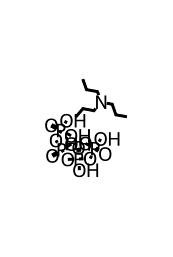 CCCN(CCC)CCC.O=P(O)(O)OP(=O)(O)OP(=O)(O)OP(=O)(O)O